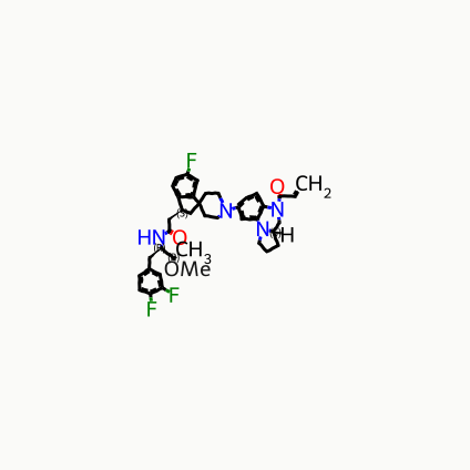 C=CC(=O)N1C[C@@H]2CCCN2c2cc(N3CCC4(CC3)C[C@@H](CC(=O)N[C@H](Cc3ccc(F)c(F)c3)[C@@H](C)OC)c3ccc(F)cc34)ccc21